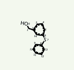 OCc1cccc(Sc2ccccc2)c1